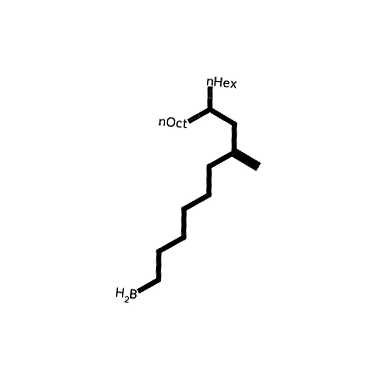 BCCCCCCC(=C)CC(CCCCCC)CCCCCCCC